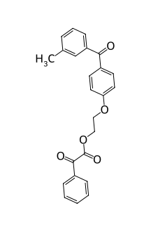 Cc1cccc(C(=O)c2ccc(OCCOC(=O)C(=O)c3ccccc3)cc2)c1